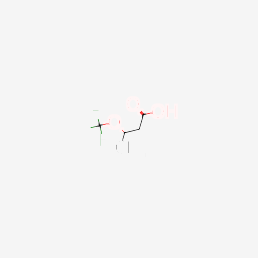 CC(CC(=O)O)OC(F)(F)F